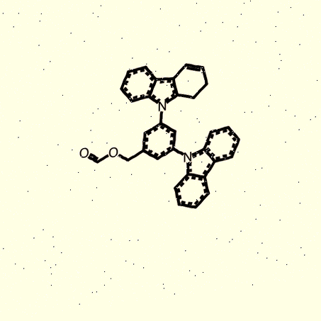 O=COCc1cc(-n2c3c(c4ccccc42)C=CCC3)cc(-n2c3ccccc3c3ccccc32)c1